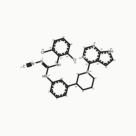 [C-]#[N+]/N=C(\Nc1cccc(C2CCCN(c3ncnc4[nH]ccc34)C2)c1)Nc1c(Cl)cccc1Cl